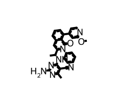 COc1cc(-c2cccc3cc(C(C)Nc4nc(N)nc(C)c4C#N)n(-c4ccccc4)c(=O)c23)ccn1